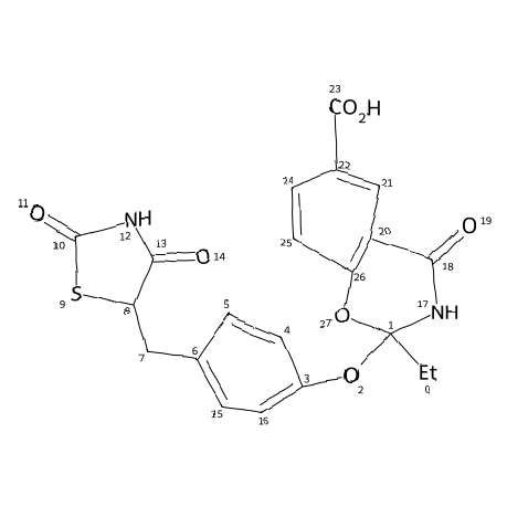 CCC1(Oc2ccc(CC3SC(=O)NC3=O)cc2)NC(=O)c2cc(C(=O)O)ccc2O1